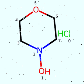 Cl.ON1CCOCC1